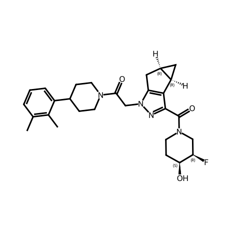 Cc1cccc(C2CCN(C(=O)Cn3nc(C(=O)N4CC[C@H](O)[C@H](F)C4)c4c3C[C@H]3C[C@@H]43)CC2)c1C